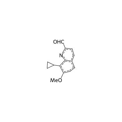 COc1ccc2ccc(C=O)nc2c1C1CC1